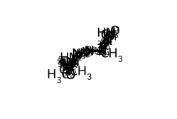 CC(=O)c1c(C)c2cnc(Nc3ccc(N4CCN(CCCCN(C)c5ccc6c(c5)CN(C5CCC(=O)NC5=O)C6)CC4)cn3)nc2n(C2CCCC2)c1=O